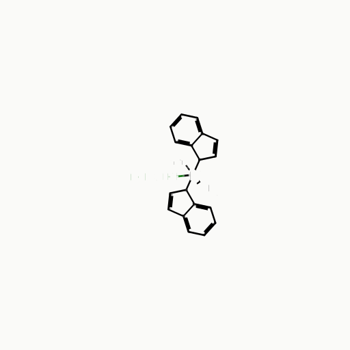 CC[CH2][Hf](=[SiH2])([Cl])([CH]1C=Cc2ccccc21)[CH]1C=Cc2ccccc21.Cl.Cl